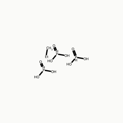 CCC.O=[PH](O)O.O=[PH](O)O.O=[PH](O)O